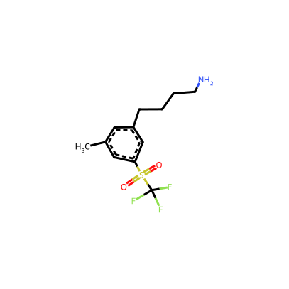 Cc1cc(CCCCN)cc(S(=O)(=O)C(F)(F)F)c1